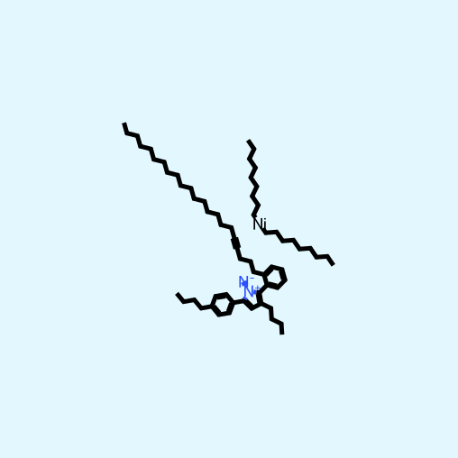 CCCCCCCCCCCCCCCCCC#CCCCc1ccccc1C1=C(CCCC)C=C(c2ccc(CCCC)cc2)[N+]1=[N-].CCCCCCCC[CH2][Ni][CH2]CCCCCCCC